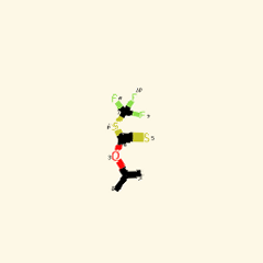 CC(C)OC(=S)SC(F)(F)F